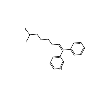 IC(I)CCCCC=C(c1ccccc1)c1cccnc1